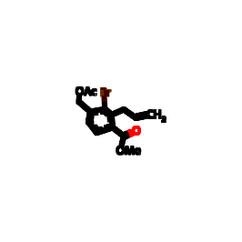 C=CCc1c(C(=O)OC)ccc(COC(C)=O)c1Br